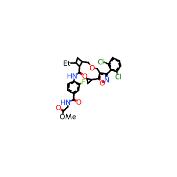 CCC1CC(COCc2c(-c3c(Cl)cccc3Cl)noc2C2CC2)C1C(=O)Nc1ccc(C(=O)NCC(=O)OC)cc1F